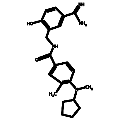 Cc1cc(C(=O)NCc2cc(C(=N)N)ccc2O)ccc1N(C)C1CCCC1